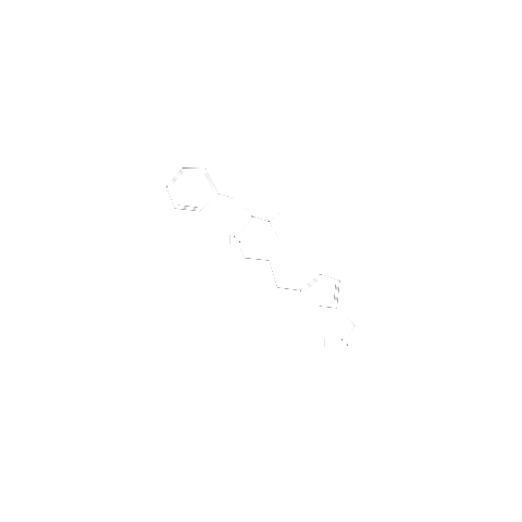 CC(O)C(N[C@@H](C)CCc1ccc(CN)s1)Oc1ccccc1